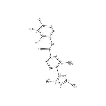 Cc1ccc(NC(=O)c2ccc(-c3cc(C(F)(F)F)nn3C(C)C)c([N+](=O)[O-])c2)c(F)c1F